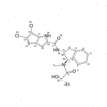 CC[C@H](O)C(=O)N(C)[C@@H]1c2ccccc2C[C@H]1NC(=O)c1cc2sc(Cl)c(Cl)c2[nH]1